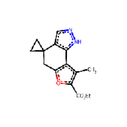 CCOC(=O)c1oc2c(c1C)-c1[nH]ncc1C1(CC1)C2